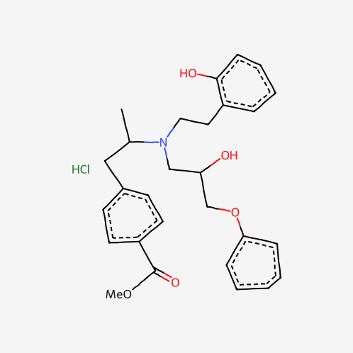 COC(=O)c1ccc(CC(C)N(CCc2ccccc2O)CC(O)COc2ccccc2)cc1.Cl